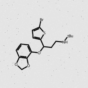 CC(C)(C)NCCC(Oc1cccc2c1OCO2)c1ccc(Br)s1